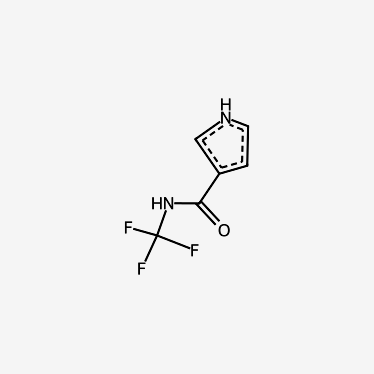 O=C(NC(F)(F)F)c1cc[nH]c1